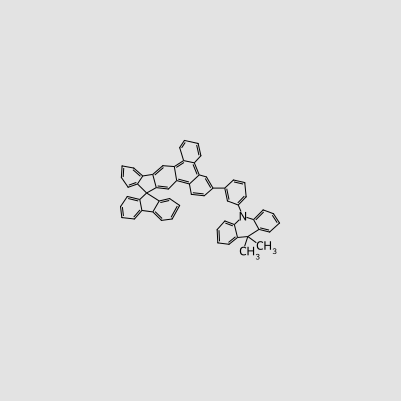 CC1(C)c2ccccc2N(c2cccc(-c3ccc4c(c3)c3ccccc3c3cc5c(cc43)C3(c4ccccc4-c4ccccc43)c3ccccc3-5)c2)c2ccccc21